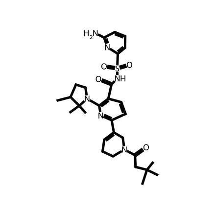 CC1CCN(c2nc(C3=CCCN(C(=O)CC(C)(C)C)C3)ccc2C(=O)NS(=O)(=O)c2cccc(N)n2)C1(C)C